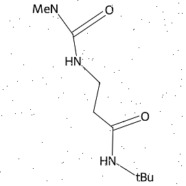 CNC(=O)NCCC(=O)NC(C)(C)C